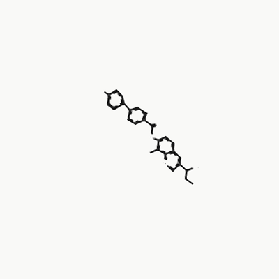 CCC(O)c1cnc2c(C)c(NC(=O)c3ccc(-c4ccc(F)cc4)cc3)ccc2c1